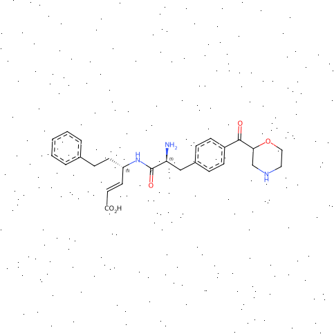 N[C@@H](Cc1ccc(C(=O)C2CNCCO2)cc1)C(=O)N[C@H](C=CC(=O)O)CCc1ccccc1